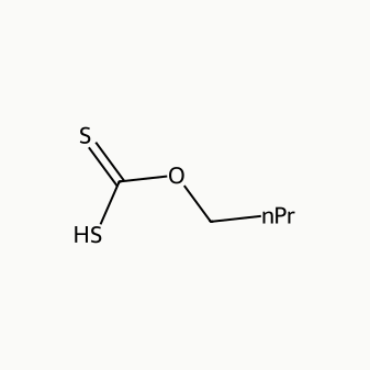 CCCCOC(=S)S